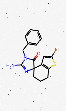 NC1=NC2(CCCc3sc(Br)cc32)C(=O)N1Cc1ccccc1